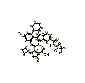 COc1ccc2c(c1)C=C(c1c(C(=O)O)c(C)nn1C1CCC1)Cn1c-2c(C2CCCCC2)c2ccc(C(=O)NS(=O)(=O)C(C)C)cc21